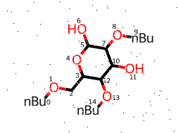 CCCCOCC1OC(O)C(OCCCC)C(O)C1OCCCC